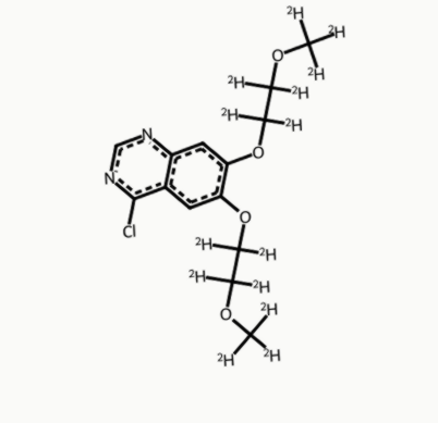 [2H]C([2H])([2H])OC([2H])([2H])C([2H])([2H])Oc1cc2ncnc(Cl)c2cc1OC([2H])([2H])C([2H])([2H])OC([2H])([2H])[2H]